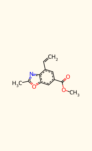 C=Cc1cc(C(=O)OC)cc2oc(C)nc12